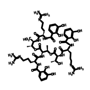 C[C@@H](O)[C@H](NC(=O)[C@H](CCCN=C(N)N)NC(=O)c1cccc(O)c1O)C(=O)O[C@H](C)[C@H](NC(=O)[C@H](CCCN=C(N)N)NC(=O)c1cccc(O)c1O)C(=O)O[C@H](C)[C@H](NC(=O)[C@H](CCCN=C(N)N)NC(=O)c1cccc(O)c1O)C(=O)O